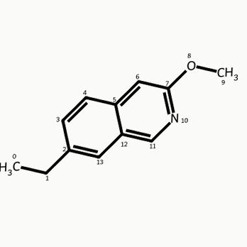 CCc1ccc2cc(OC)ncc2c1